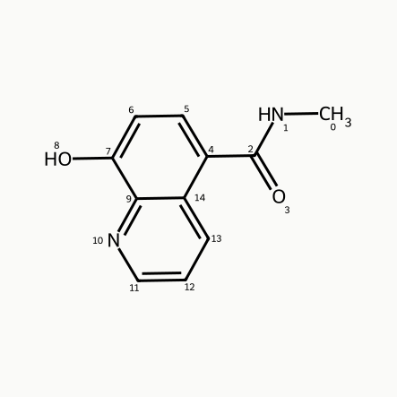 CNC(=O)c1ccc(O)c2ncccc12